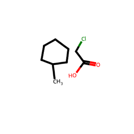 CC1CCCCC1.O=C(O)CCl